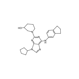 OC1CCCN(c2nc(Nc3ccc4c(c3)CCC4)c3ncn(C4CCCC4)c3n2)C1